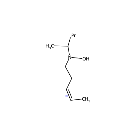 C/C=C\CCN(O)C(C)C(C)C